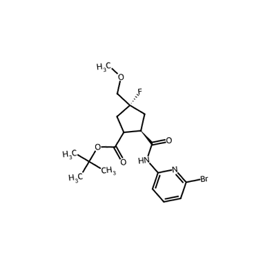 COC[C@]1(F)CC(C(=O)OC(C)(C)C)[C@H](C(=O)Nc2cccc(Br)n2)C1